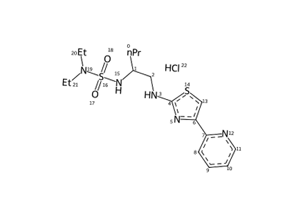 CCCC(CNc1nc(-c2ccccn2)cs1)NS(=O)(=O)N(CC)CC.Cl